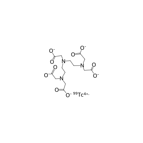 O=C([O-])CN(CCN(CC(=O)[O-])CC(=O)[O-])CCN(CC(=O)[O-])CC(=O)[O-].[99Tc+4]